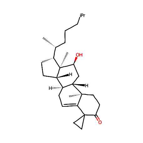 CC(C)CCC[C@@H](C)[C@H]1CC[C@H]2[C@@H]3CC=C4C5(CC5)C(=O)CC[C@]4(C)[C@H]3C[C@H](O)[C@]12C